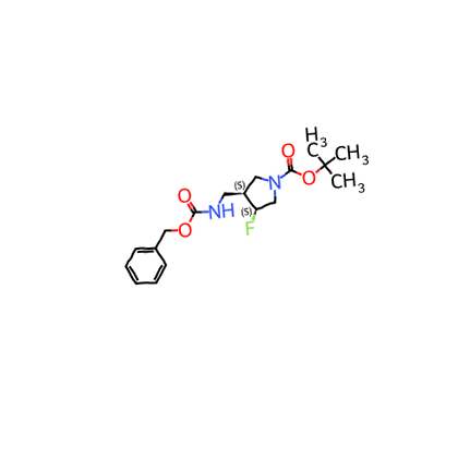 CC(C)(C)OC(=O)N1C[C@H](CNC(=O)OCc2ccccc2)[C@H](F)C1